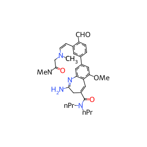 CCCN(CCC)C(=O)C1=Cc2c(cc(-c3ccc(C=O)c(/C=C\N(C)CC(=O)NC)c3)cc2OC)N=C(N)C1